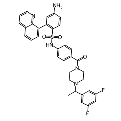 CC(c1cc(F)cc(F)c1)N1CCN(C(=O)c2ccc(NS(=O)(=O)c3ccc(N)cc3-c3cccc4cccnc34)cc2)CC1